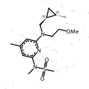 COCCN(C[C@H]1C[C@@H]1C)c1cc(C)cc(N(C)S(C)(=O)=O)n1